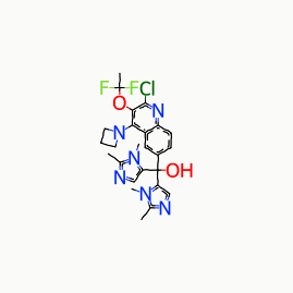 Cc1ncc(C(O)(c2ccc3nc(Cl)c(OC(C)(F)F)c(N4CCC4)c3c2)c2cnc(C)n2C)n1C